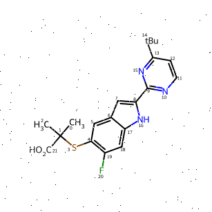 CC(C)(Sc1cc2cc(-c3nccc(C(C)(C)C)n3)[nH]c2cc1F)C(=O)O